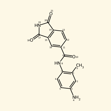 Cc1cc(N)ccc1NC(=O)c1ccc2c(c1)C(=O)NC2=O